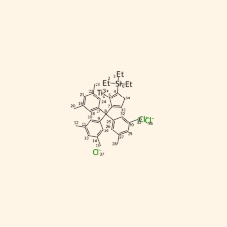 CC[Si](CC)(CC)C1=[C]([Ti+3])C(C(c2cc(C)cc(C)c2)(c2cc(C)cc(C)c2)c2cc(C)cc(C)c2)=CC1.[Cl-].[Cl-].[Cl-]